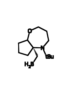 BC[C@]12CCCC1OCCCN2C(C)(C)C